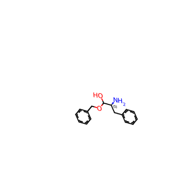 N[C@@H](Cc1ccccc1)C(O)OCc1ccccc1